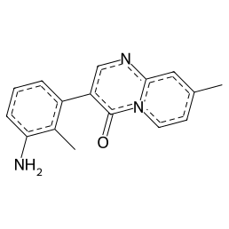 Cc1ccn2c(=O)c(-c3cccc(N)c3C)cnc2c1